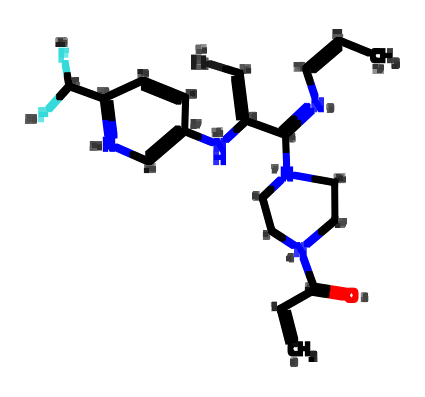 C=CC(=O)N1CCN(C(=N/C=C\C)/C(=C/CC)Nc2ccc(C(F)F)nc2)CC1